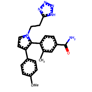 COc1ccc(-c2ccn(CCc3nnn[nH]3)c2-c2ccc(C(N)=O)cc2C)cc1